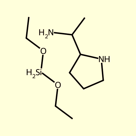 CC(N)C1CCCN1.CCO[SiH2]OCC